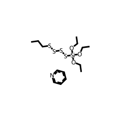 CCCSSSS[Si](OCC)(OCC)OCC.c1ccncc1